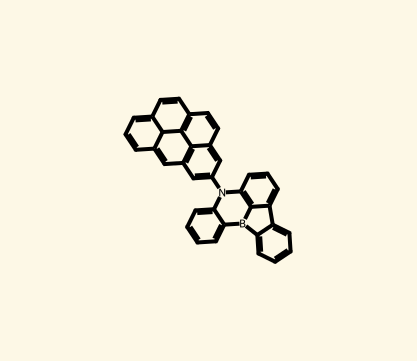 C1=CC2=Cc3cc(N4c5ccccc5B5c6ccccc6-c6cccc4c65)cc4ccc5c(c34)C2C(=C1)C=C5